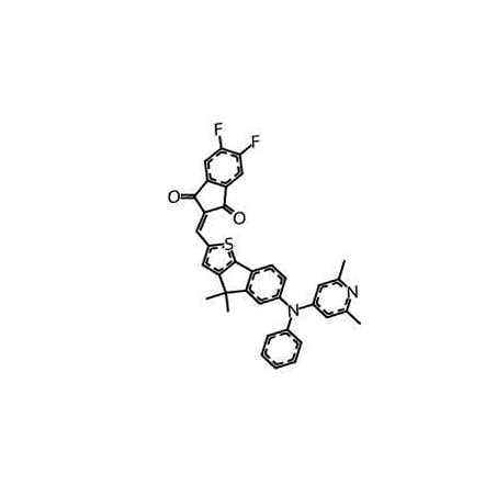 Cc1cc(N(c2ccccc2)c2ccc3c(c2)C(C)(C)c2cc(C=C4C(=O)c5cc(F)c(F)cc5C4=O)sc2-3)cc(C)n1